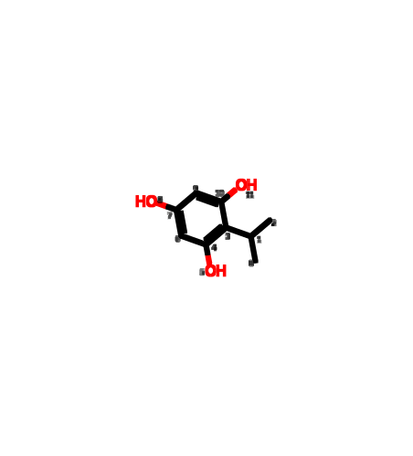 CC(C)c1c(O)cc(O)cc1O